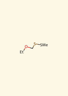 CCOCSSC